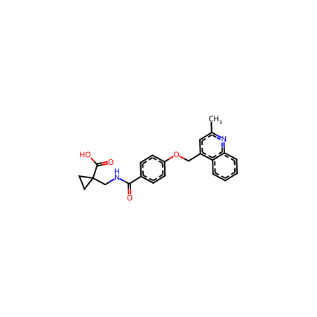 Cc1cc(COc2ccc(C(=O)NCC3(C(=O)O)CC3)cc2)c2ccccc2n1